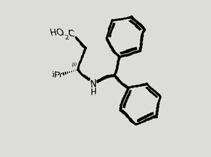 CC(C)[C@H](CC(=O)O)NC(c1ccccc1)c1ccccc1